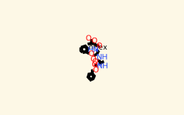 CCCCCC[C@]1(C)C(=O)OC1C(=O)NCC(NC(=O)C(C)NC(=O)OCc1ccccc1)C(=O)OCc1ccccc1